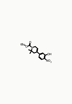 CC(C)(C)OC(=O)N1CC=C(c2ccc([N+](=O)[O-])c(O)c2)CC1(C)C